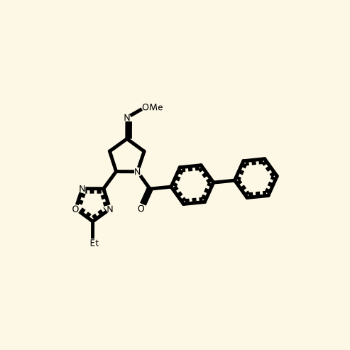 CCc1nc(C2CC(=NOC)CN2C(=O)c2ccc(-c3ccccc3)cc2)no1